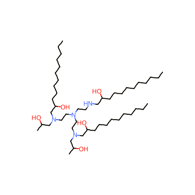 CCCCCCCCCCC(O)CNCCN(CCN(CC(C)O)CC(O)CCCCCCCCCC)CCN(CC(C)O)CC(O)CCCCCCCCCC